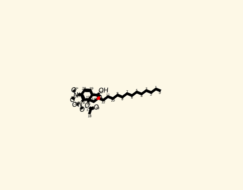 CCCCCCCCCCCCCCCC1(OC(C)=O)C([N+](=O)[O-])=C([N+](=O)[O-])C=CC1C(=O)O